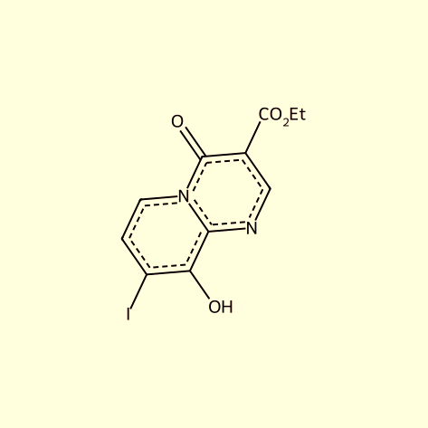 CCOC(=O)c1cnc2c(O)c(I)ccn2c1=O